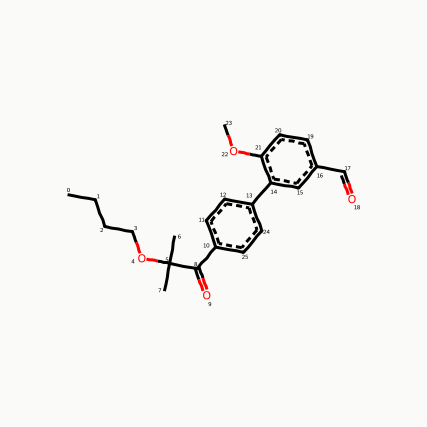 CCCCOC(C)(C)C(=O)c1ccc(-c2cc(C=O)ccc2OC)cc1